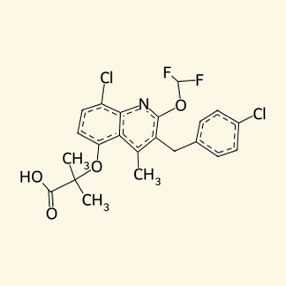 Cc1c(Cc2ccc(Cl)cc2)c(OC(F)F)nc2c(Cl)ccc(OC(C)(C)C(=O)O)c12